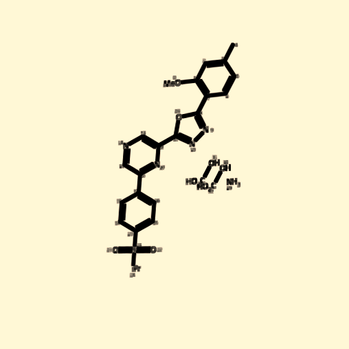 COc1cc(C)ccc1-c1nnc(-c2cncc(-c3ccc(S(=O)(=O)C(C)C)cc3)n2)o1.N.O=C(O)O.O=C(O)O